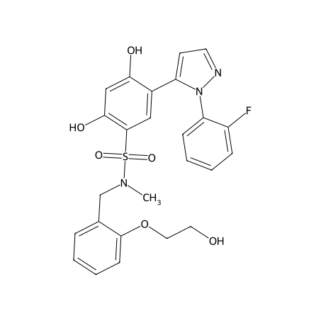 CN(Cc1ccccc1OCCO)S(=O)(=O)c1cc(-c2ccnn2-c2ccccc2F)c(O)cc1O